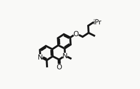 Cc1nccc2c1c(=O)n(C)c1cc(OCC(C)CC(C)C)ccc21